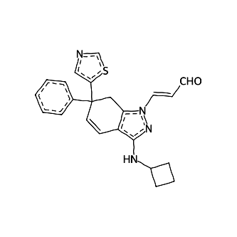 O=CC=Cn1nc(NC2CCC2)c2c1CC(c1ccccc1)(c1cncs1)C=C2